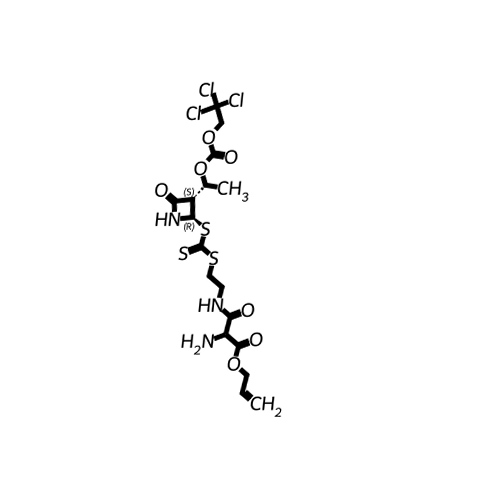 C=CCOC(=O)C(N)C(=O)NCCSC(=S)S[C@H]1NC(=O)[C@@H]1C(C)OC(=O)OCC(Cl)(Cl)Cl